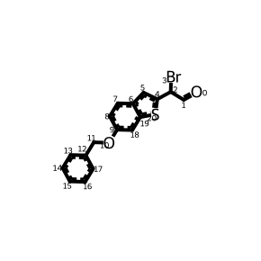 O=CC(Br)c1cc2ccc(OCc3ccccc3)cc2s1